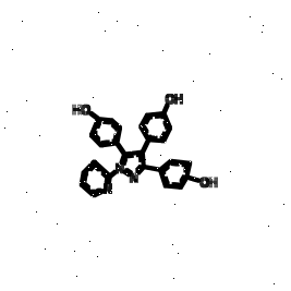 Oc1ccc(-c2nn(-c3ccccn3)c(-c3ccc(O)cc3)c2-c2ccc(O)cc2)cc1